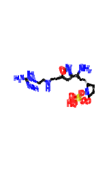 N=C(N)NCCNCCc1cc([C@@H](N)CC[C@@H]2CCC(=O)N2OS(=O)(=O)O)no1